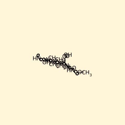 CCCOc1cccc2cc(NC(=O)c3ccc(N=Nc4cc(OCCCS(=O)(=O)O)c(N=Nc5cc(C)c(N=Nc6cc(C)c(N=Nc7ccc8cc(Nc9ccccc9)ccc8c7O)cc6C)cc5C)cc4C)cc3)ccc12